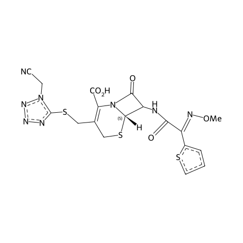 CON=C(C(=O)NC1C(=O)N2C(C(=O)O)=C(CSc3nnnn3CC#N)CS[C@@H]12)c1cccs1